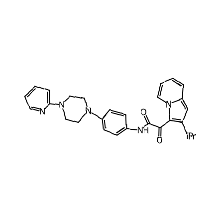 CC(C)c1cc2ccccn2c1C(=O)C(=O)Nc1ccc(N2CCN(c3ccccn3)CC2)cc1